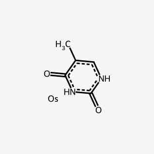 Cc1c[nH]c(=O)[nH]c1=O.[Os]